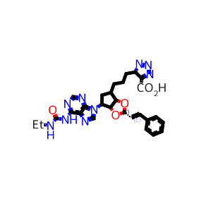 CCNC(=O)Nc1ncnc2c1ncn2C1CC(CCCC2N=NN=C2C(=O)O)C2O[C@H](/C=C/c3ccccc3)OC21